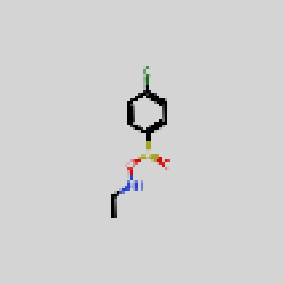 CCNOS(=O)c1ccc(Cl)cc1